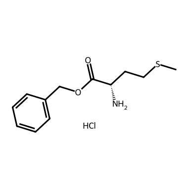 CSCC[C@H](N)C(=O)OCc1ccccc1.Cl